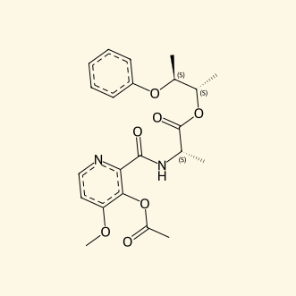 COc1ccnc(C(=O)N[C@@H](C)C(=O)O[C@@H](C)[C@H](C)Oc2ccccc2)c1OC(C)=O